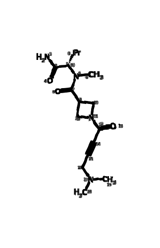 CC(C)[C@@H](C(N)=O)N(C)C(=O)C1CN(C(=O)C#CCN(C)C)C1